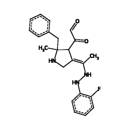 CC(NNc1ccccc1F)=C1CNC(C)(Cc2ccccc2)C1C(=O)C=O